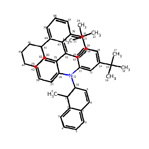 CC1c2ccccc2C=CC1N(c1cc(C(C)(C)C)cc(C(C)(C)C)c1)c1ccccc1-c1cccc2cccc(C3CCCCC3)c12